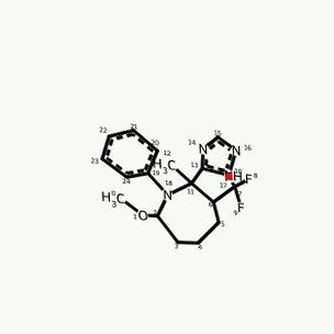 COC1CCCC(C(F)(F)F)C(C)(c2ncn[nH]2)N1c1ccccc1